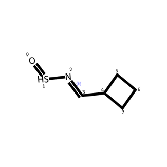 O=[SH]/N=C/C1CCC1